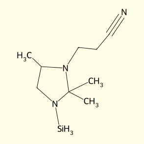 CC1CN([SiH3])C(C)(C)N1CCC#N